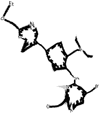 CCOc1ncc(-c2ccc(Nc3nc(Cl)ncc3Br)c(P(C)C)c2)cn1